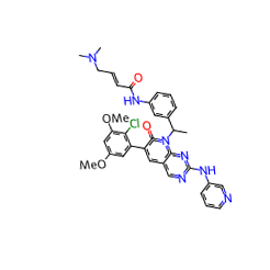 COc1cc(OC)c(Cl)c(-c2cc3cnc(Nc4cccnc4)nc3n(C(C)c3cccc(NC(=O)/C=C/CN(C)C)c3)c2=O)c1